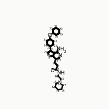 Nc1ncc(C=CC(=O)NCCN2CCCCC2)c2scc(-c3ccc(Oc4ccccc4)cc3)c12